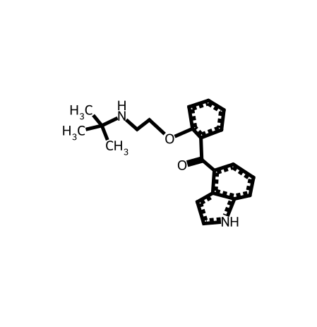 CC(C)(C)NCCOc1ccccc1C(=O)c1cccc2[nH]ccc12